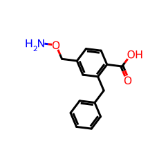 NOCc1ccc(C(=O)O)c(Cc2ccccc2)c1